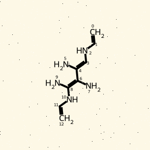 C=CN/C=C(N)/C(N)=C(\N)NC=C